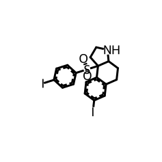 O=S(=O)(c1ccc(I)cc1)C12CCNC1CCc1cc(I)ccc12